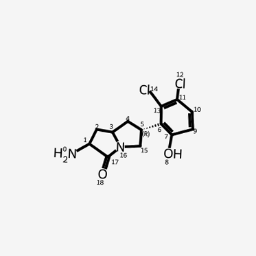 NC1CC2C[C@H](c3c(O)ccc(Cl)c3Cl)CN2C1=O